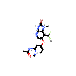 C=N/C(=C\C(=C/C)Oc1cnc2nc(Br)n(C)c2c1C(F)F)NC(C)=O